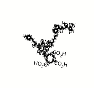 COC(=O)C[C@H](NC(=O)[C@H](CCCNC(=O)CCCc1ccc(I)cc1)NC(=O)CN1CCN(CC(=O)O)CCN(CC(=O)O)CCN(CC(=O)O)CC1)C(=O)N1CCC(CCCCOc2ccc3nccc(C(=O)NCC(=O)N4CC(F)(F)C[C@@H]4C#N)c3c2)CC1